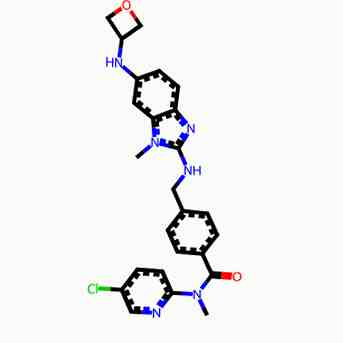 CN(C(=O)c1ccc(CNc2nc3ccc(NC4COC4)cc3n2C)cc1)c1ccc(Cl)cn1